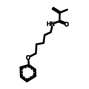 C=C(C)C(=O)NCCCCCOc1ccccc1